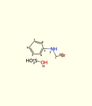 BrCNc1ccccc1.O=S(=O)(O)O